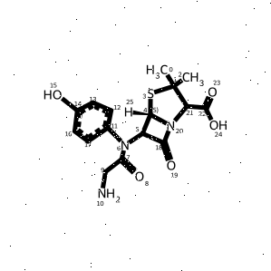 CC1(C)S[C@H]2C(N(C(=O)CN)c3ccc(O)cc3)C(=O)N2C1C(=O)O